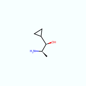 C[C@@H](N)[C@H](O)C1CC1